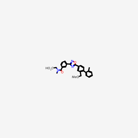 COCc1cc(-c2nc(-c3cccc(C(=O)N(C)CC(=O)O)c3)no2)ccc1-c1ccccc1C